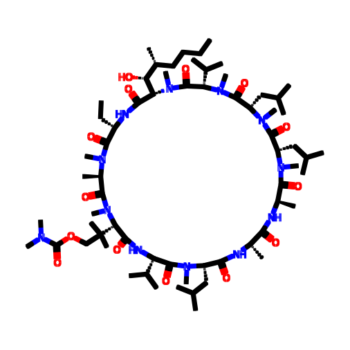 CCCC[C@@H](C)[C@@H](O)[C@H]1C(=O)N[C@@H](CC)C(=O)N(C)[C@H](C)C(=O)N(C)[C@@H](C(C)(C)COC(=O)N(C)C)C(=O)N[C@@H](C(C)C)C(=O)N(C)[C@@H](CC(C)C)C(=O)N[C@@H](C)C(=O)N[C@H](C)C(=O)N(C)[C@@H](CC(C)C)C(=O)N(C)[C@@H](CC(C)C)C(=O)N(C)[C@@H](C(C)C)C(=O)N1C